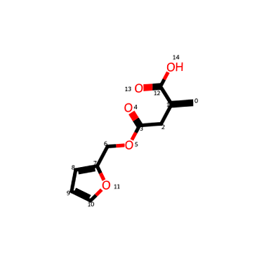 C=C(CC(=O)OCc1ccco1)C(=O)O